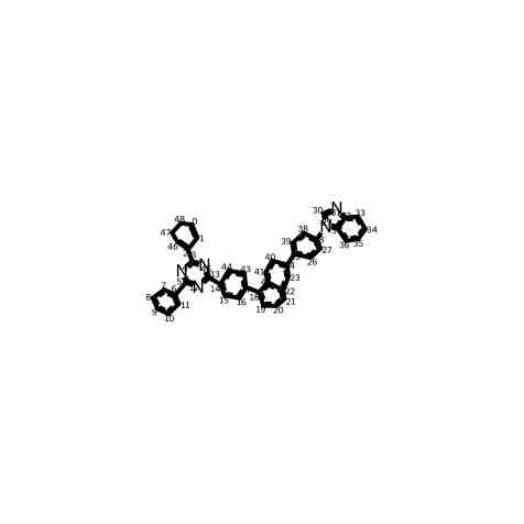 C1=CC(c2nc(-c3ccccc3)nc(-c3ccc(-c4cccc5cc(-c6ccc(-n7cnc8ccccc87)cc6)ccc45)cc3)n2)=CCC1